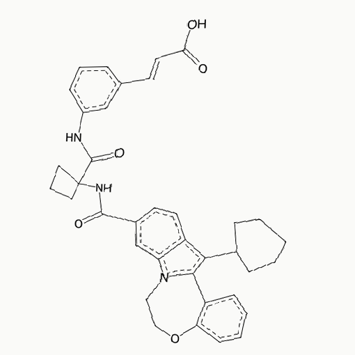 O=C(O)C=Cc1cccc(NC(=O)C2(NC(=O)c3ccc4c(C5CCCCC5)c5n(c4c3)CCOc3ccccc3-5)CCC2)c1